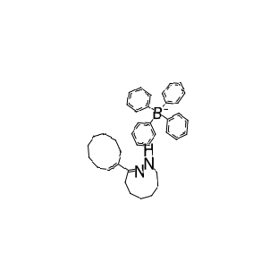 C1=C(/C2=N\NCCCCCC2)CCCCCCC/1.c1ccc([B-](c2ccccc2)(c2ccccc2)c2ccccc2)cc1